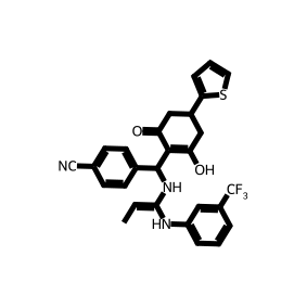 CC=C(Nc1cccc(C(F)(F)F)c1)NC(C1=C(O)CC(c2cccs2)CC1=O)c1ccc(C#N)cc1